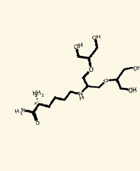 NC(=O)[C@H](N)CCCCNC(COC(CO)CO)COC(CO)CO